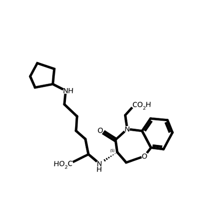 O=C(O)CN1C(=O)[C@@H](NC(CCCCNC2CCCC2)C(=O)O)COc2ccccc21